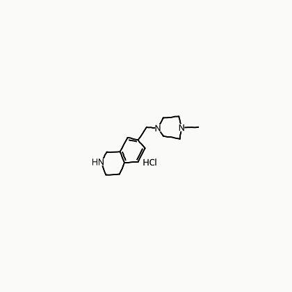 CN1CCN(Cc2ccc3c(c2)CNCC3)CC1.Cl